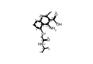 Cc1nc2cccc(OCC(=O)NC(C)C)c2c(N)c1C(=O)O